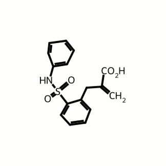 C=C(Cc1ccccc1S(=O)(=O)Nc1ccccc1)C(=O)O